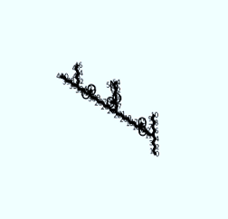 CCCCCC(CCCCC)CCOC(=O)CCCCCCCC(CCCCCCCC(=O)OCCC(CCCCC)CCCCC)CC(=O)OCCN(C)C